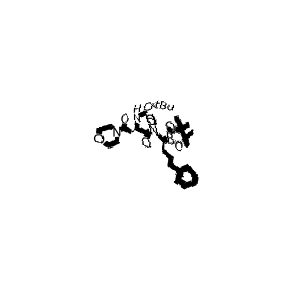 CC(C)(C)OC(=O)N[C@@H](CC(=O)N1CCOCC1)C(=O)N[C@H](CCCc1ccccc1)B1OC(C)(C)C(C)(C)O1